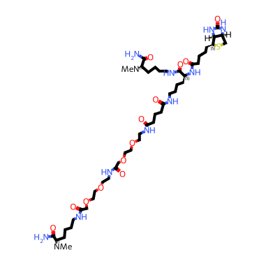 CN[C@@H](CCCCNC(=O)COCCOCCNC(=O)COCCOCCNC(=O)CCCC(=O)NCCCC[C@H](NC(=O)CCCC[C@@H]1SC[C@@H]2NC(=O)N[C@@H]21)C(=O)NCCCC[C@H](NC)C(N)=O)C(N)=O